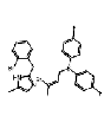 CC(Br)=CCB(c1ccc(F)cc1)c1ccc(F)cc1.Cc1cnc(Cc2ccccc2Br)[nH]1